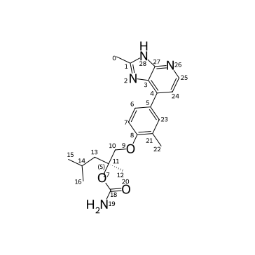 Cc1nc2c(-c3ccc(OC[C@](C)(CC(C)C)OC(N)=O)c(C)c3)ccnc2[nH]1